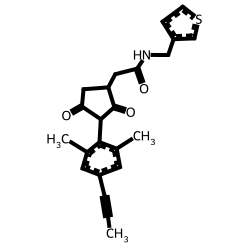 CC#Cc1cc(C)c(C2C(=O)CC(CC(=O)NCc3ccsc3)C2=O)c(C)c1